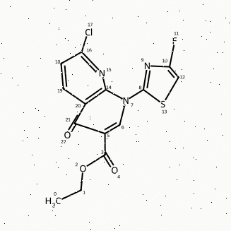 CCOC(=O)c1cn(-c2nc(F)cs2)c2nc(Cl)ccc2c1=O